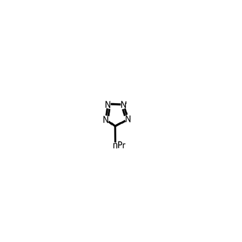 C[CH]CC1N=NN=N1